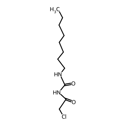 CCCCCCCCNC(=O)NC(=O)CCl